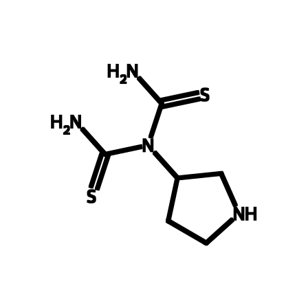 NC(=S)N(C(N)=S)C1CCNC1